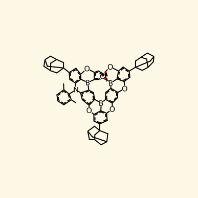 Cc1cccc(C)c1N1c2cc3c(cc2B2c4ccccc4Oc4cc(C56CC7CC(CC(C7)C5)C6)cc1c42)B1c2cc4c(cc2Oc2cc(C56CC7CC(CC(C7)C5)C6)cc(c21)O3)Oc1cc(C23CC5CC(CC(C5)C2)C3)cc2c1B4c1ccccc1O2